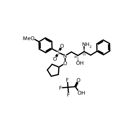 COc1ccc(S(=O)(=O)N(C[C@@H](O)[C@@H](N)Cc2ccccc2)OC2CCCC2)cc1.O=C(O)C(F)(F)F